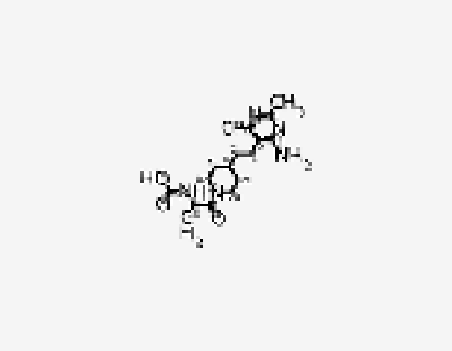 Cc1nc(N)c(CCC2CCN(C(=O)C(C)NC(=O)O)CC2)c(Cl)n1